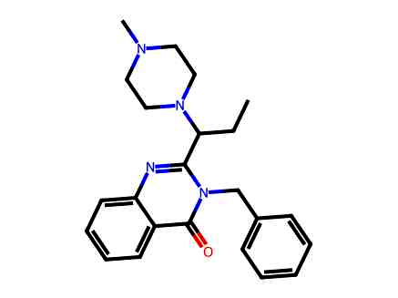 CCC(c1nc2ccccc2c(=O)n1Cc1ccccc1)N1CCN(C)CC1